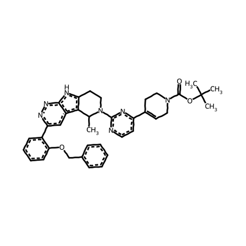 CC1c2c([nH]c3nnc(-c4ccccc4OCc4ccccc4)cc23)CCN1c1nccc(C2=CCN(C(=O)OC(C)(C)C)CC2)n1